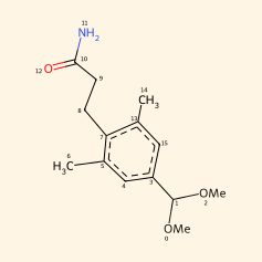 COC(OC)c1cc(C)c(CCC(N)=O)c(C)c1